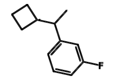 CC([C]1CCC1)c1cccc(F)c1